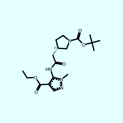 CCOC(=O)c1cnn(C)c1NC(=O)C[C@@H]1CCN(C(=O)OC(C)(C)C)C1